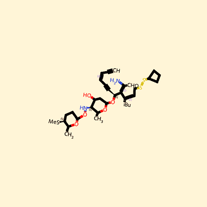 C#C/C=C\C#C[C@H](OC1CC(O)[C@H](NOC2CC[C@H](SC)C(C)O2)C(C)O1)C(/C(=C\CSSC1CCC1)C(C)CC)=C(\N)C=O